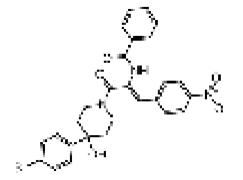 O=C(NC(=Cc1ccc([N+](=O)[O-])cc1)C(=O)N1CCC(O)(c2ccc(Br)cc2)CC1)c1ccccc1